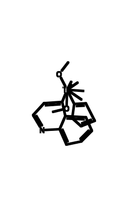 C[O][Ti]([CH3])([CH3])([CH3])([CH3])([CH3])([O]C)([C]1=CC=CC1)[c]1ccnc2ccccc12